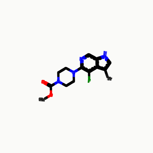 CC(C)c1c[nH]c2cnc(N3CCN(C(=O)OC(C)(C)C)CC3)c(F)c12